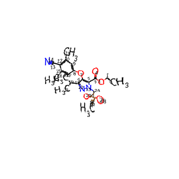 CCOC(=O)c1c(Oc2cc(C)c(C#N)c(C)c2)c(C(C)C)nn1CS(C)(=O)=O